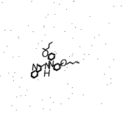 CCCCCOc1cccc(N(NCc2cnc3ccccc3c2)c2cccc(OC(C)CCC)c2)c1